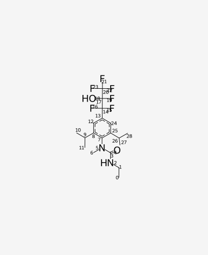 CCNC(=O)N(C)c1c(C(C)C)cc(C(F)(F)C(O)(F)C(F)(F)F)cc1C(C)C